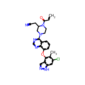 C=CC(=O)N1CCN(c2ncnc3c(Oc4c(C)c(Cl)cc5[nH]ncc45)cccc23)CC1CC#N